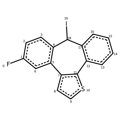 Fc1ccc2c(c1)-c1ccsc1-c1ccccc1C2I